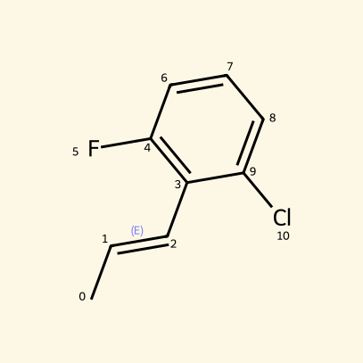 C/C=C/c1c(F)cccc1Cl